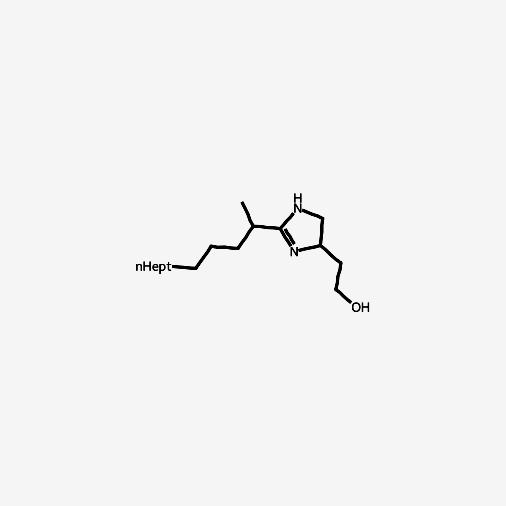 CCCCCCCCCCC(C)C1=NC(CCO)CN1